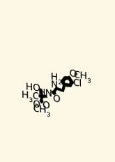 COC(=O)C(C)(CO)CNC(=O)[C@H](N)Cc1ccc(OC)c(Cl)c1